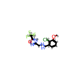 COc1cccc(CNCc2noc(C(F)(F)F)n2)c1Cl